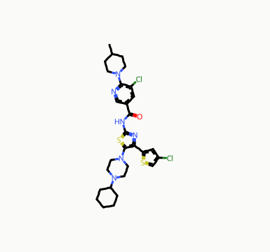 CC1CCN(c2ncc(C(=O)Nc3nc(-c4cc(Cl)cs4)c(N4CCN(C5CCCCC5)CC4)s3)cc2Cl)CC1